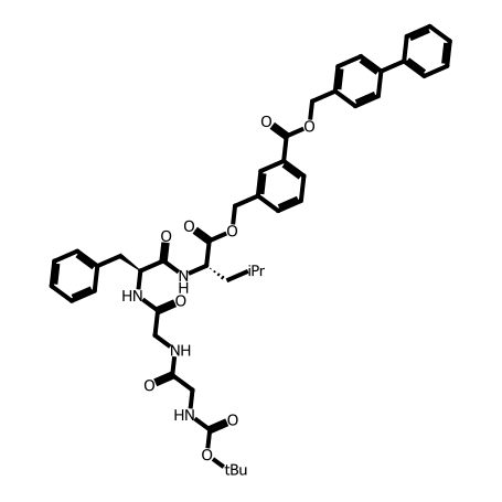 CC(C)C[C@H](NC(=O)[C@H](Cc1ccccc1)NC(=O)CNC(=O)CNC(=O)OC(C)(C)C)C(=O)OCc1cccc(C(=O)OCc2ccc(-c3ccccc3)cc2)c1